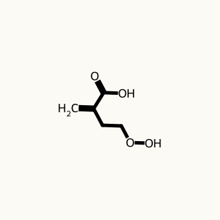 C=C(CCOO)C(=O)O